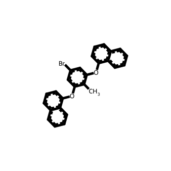 Cc1c(Oc2cccc3ccccc23)cc(Br)cc1Oc1cccc2ccccc12